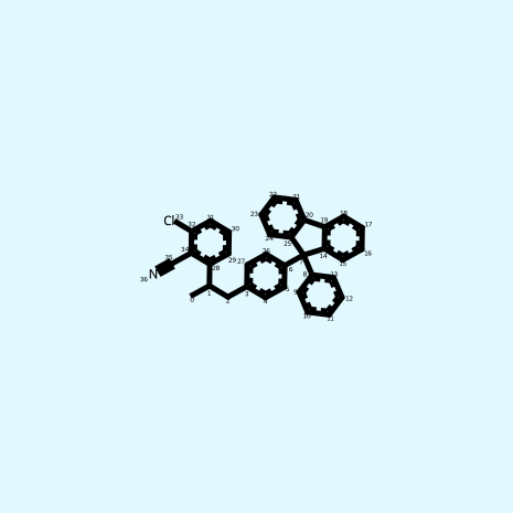 CC(Cc1ccc(C2(c3ccccc3)c3ccccc3-c3ccccc32)cc1)c1cccc(Cl)c1C#N